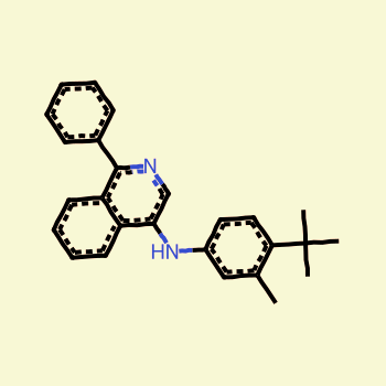 Cc1cc(Nc2cnc(-c3ccccc3)c3ccccc23)ccc1C(C)(C)C